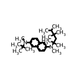 CC(C)C(C)(C)CC(C)(C)N(C)c1ccc2cc(N(C)C(C)(C)C)ccc2c1